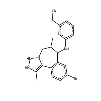 CC1=C2c3ccc(Br)cc3C(Nc3cccc(CC#N)c3)C(C)CN2NN1